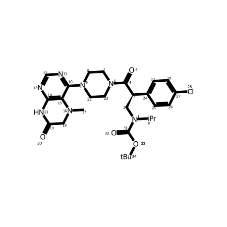 CC(C)N(C[C@@H](C(=O)N1CCN(c2ncnc3c2N(C)CC(=O)N3)CC1)c1ccc(Cl)cc1)C(=O)OC(C)(C)C